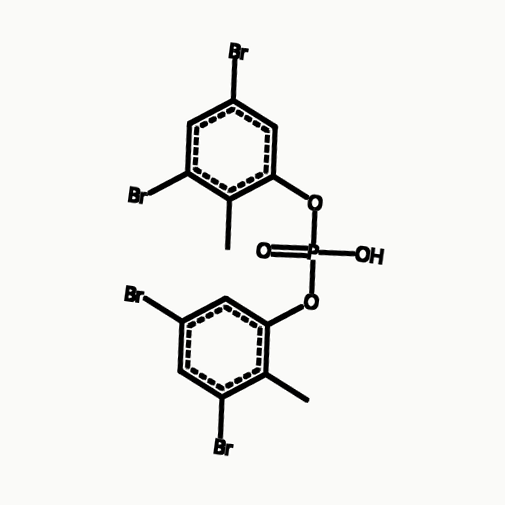 Cc1c(Br)cc(Br)cc1OP(=O)(O)Oc1cc(Br)cc(Br)c1C